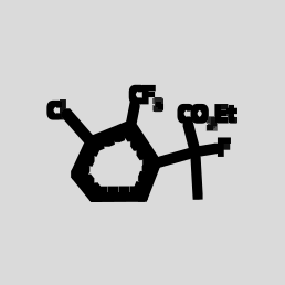 CCOC(=O)C(C)(F)c1cccc(Cl)c1C(F)(F)F